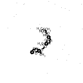 COc1cc2c(cc1OCCCOc1cc3c(cc1OC)C(=O)N1c4cc(NC(=O)CCC(C)(C)SC(C)C)ccc4C[C@H]1C=N3)N=C[C@@H]1Cc3ccccc3N1C2=O